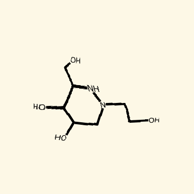 OCCN1CC(O)C(O)C(CO)N1